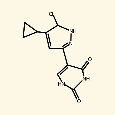 O=c1[nH]cc(C2=NNC(Cl)C(C3CC3)=C2)c(=O)[nH]1